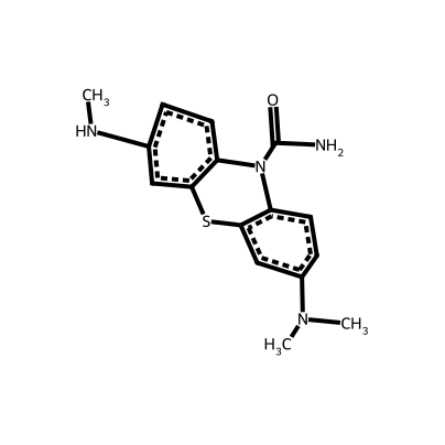 CNc1ccc2c(c1)Sc1cc(N(C)C)ccc1N2C(N)=O